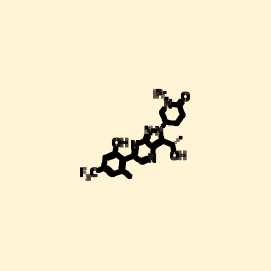 Cc1cc(C(F)(F)F)cc(O)c1-c1cnc2c([C@H](C)O)n([C@@H]3CCC(=O)N(C(C)C)C3)nc2n1